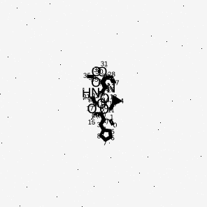 CC[C@H](CC1CCCC1)[C@@H](OCC1CC1)[C@H](C)OC(=O)[C@H](C)NC(=O)c1nccc(OC)c1OC(C)=O